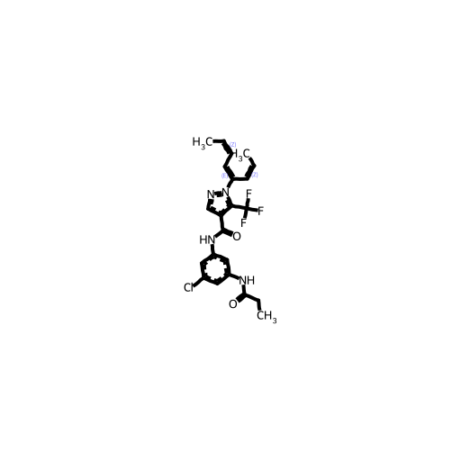 C\C=C/C=C(\C=C/C)n1ncc(C(=O)Nc2cc(Cl)cc(NC(=O)CC)c2)c1C(F)(F)F